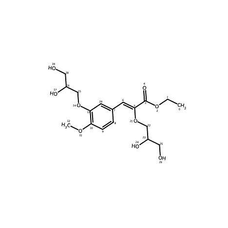 CCOC(=O)C(=Cc1ccc(OC)c(OCC(O)CO)c1)OCC(O)CO